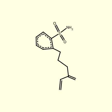 C=CC(=C)CCCc1ccccc1S(N)(=O)=O